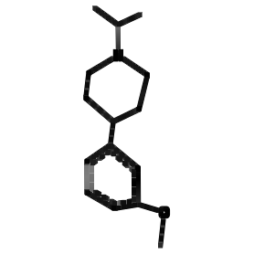 COc1cccc(C2CCN(C(C)C)CC2)c1